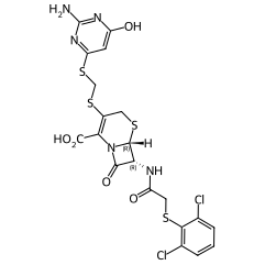 Nc1nc(O)cc(SCSC2=C(C(=O)O)N3C(=O)[C@@H](NC(=O)CSc4c(Cl)cccc4Cl)[C@H]3SC2)n1